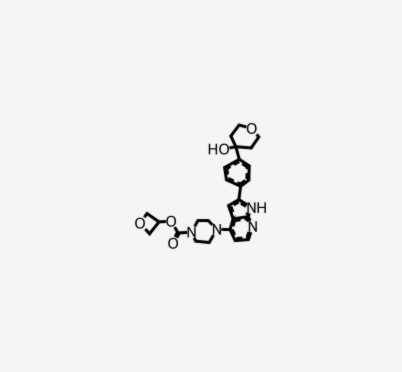 O=C(OC1COC1)N1CCN(c2ccnc3[nH]c(-c4ccc(C5(O)CCOCC5)cc4)cc23)CC1